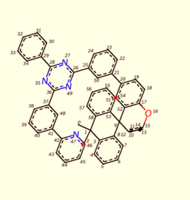 CC1(C)c2ccccc2C2(c3ccccc3Oc3ccc(-c4cccc(-c5nc(-c6ccccc6)nc(-c6cccc(-c7ccccn7)c6)n5)c4)cc32)c2ccccc21